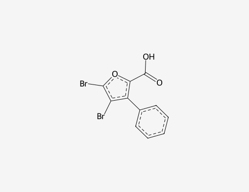 O=C(O)c1oc(Br)c(Br)c1-c1ccccc1